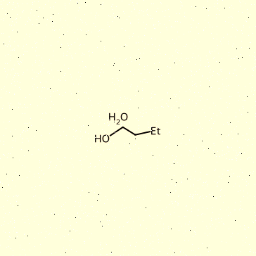 CCCCO.O